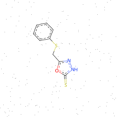 S=c1[nH]nc(CSc2ccccc2)o1